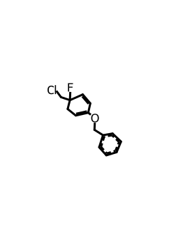 FC1(CCl)C=CC(OCc2ccccc2)=CC1